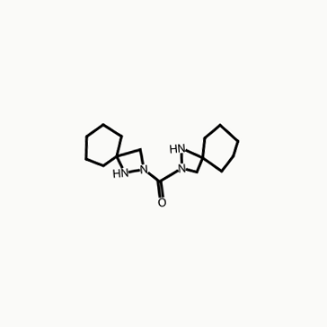 O=C(N1CC2(CCCCC2)N1)N1CC2(CCCCC2)N1